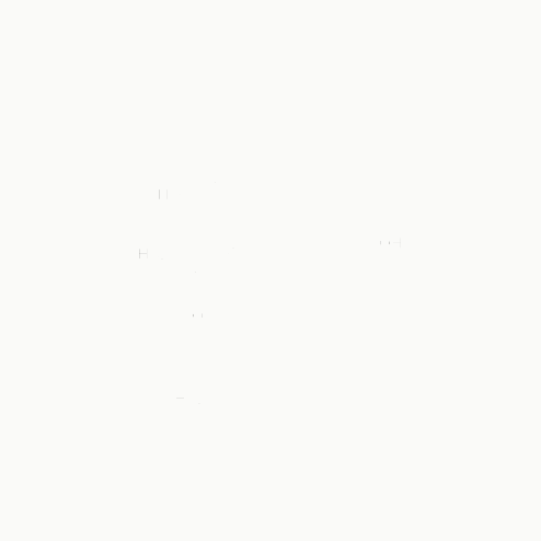 CC(=O)Oc1c(C)ccc2ccccc12.Oc1ccc2ccc(O)cc2c1